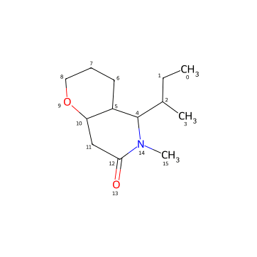 CCC(C)C1C2CCCOC2CC(=O)N1C